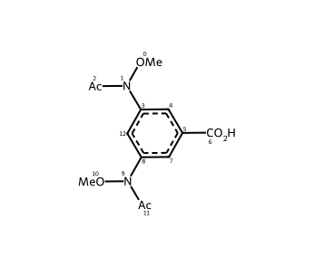 CON(C(C)=O)c1cc(C(=O)O)cc(N(OC)C(C)=O)c1